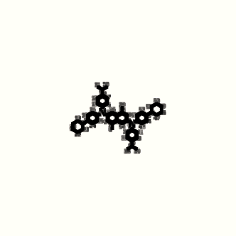 Cc1cc(N(c2ccc(C(C)C)cc2)c2ccc(C3CCCCC3)cc2)cc2c(C)cc(N(c3ccc(C(C)C)cc3)c3ccc(C4CCCCC4)cc3)cc12